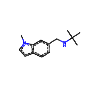 Cn1ccc2ccc(CNC(C)(C)C)cc21